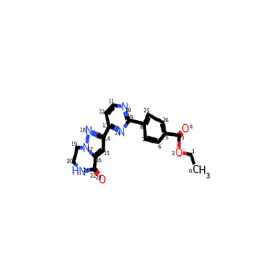 CCOC(=O)c1ccc(-c2nccc(-c3cc4n(n3)CCNC4=O)n2)cc1